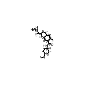 CCN1CCC(C)(NC(=O)c2cc3c(cc2C)CCC(C(=O)NO)C3)CC1